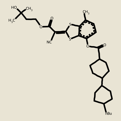 CCCCC1CCC(C2CCC(C(=O)Oc3ccc(C)c4c3S/C(=C(\C#N)C(=O)OCCC(C)(C)O)S4)CC2)CC1